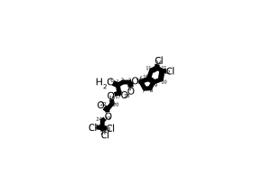 C=C(CC(=O)OC1CCc2cc(Cl)c(Cl)cc21)C(=O)OCC(=O)OCC(Cl)(Cl)Cl